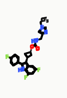 O=C(NCc1cn(CC(F)(F)F)cn1)O[C@H]1C[C@H](c2c(-c3ccc(F)cc3)[nH]c3c(F)cc(F)cc32)C1